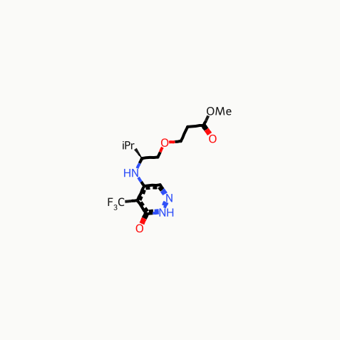 COC(=O)CCOC[C@@H](Nc1cn[nH]c(=O)c1C(F)(F)F)C(C)C